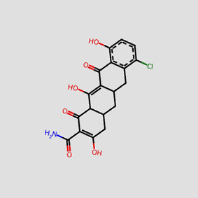 NC(=O)C1=C(O)CC2CC3Cc4c(Cl)ccc(O)c4C(=O)C3=C(O)C2C1=O